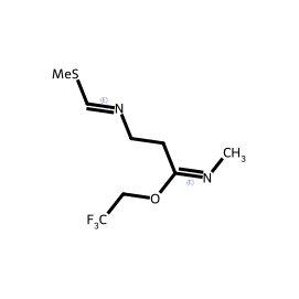 C/N=C(\CC/N=C/SC)OCC(F)(F)F